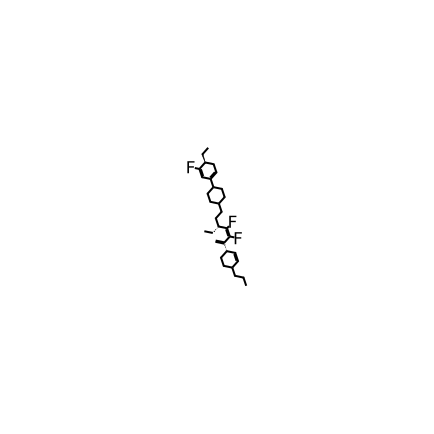 C=C(/C(F)=C(/F)[C@H](CC)CCC1CCC(C2=CC[C@H](CC)C(F)=C2)CC1)[C@@H]1C=CC(CCC)CC1